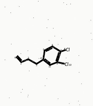 C=CCCc1ccc(Cl)c(Cl)c1